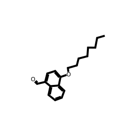 CCCCCCCCOc1ccc(C=O)c2ccccc12